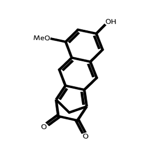 COc1cc(O)cc2cc3c(cc12)=C1CC=3C(=O)C1=O